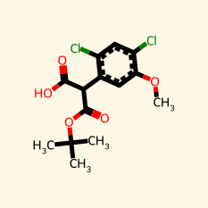 COc1cc(C(C(=O)O)C(=O)OC(C)(C)C)c(Cl)cc1Cl